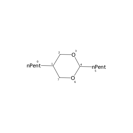 CCCCCC1COC(CCCCC)OC1